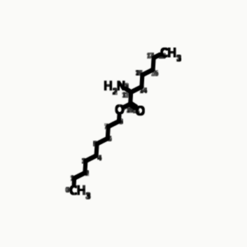 CCCCCCCCCOC(=O)C(N)CCCCC